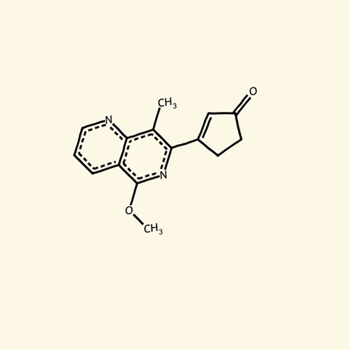 COc1nc(C2=CC(=O)CC2)c(C)c2ncccc12